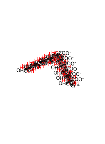 O=C[C@H](O)[C@@H](O)[C@@H](O)[C@H](O)C(=O)[O-].O=C[C@H](O)[C@@H](O)[C@@H](O)[C@H](O)C(=O)[O-].O=C[C@H](O)[C@@H](O)[C@@H](O)[C@H](O)C(=O)[O-].O=C[C@H](O)[C@@H](O)[C@@H](O)[C@H](O)C(=O)[O-].O=C[C@H](O)[C@@H](O)[C@@H](O)[C@H](O)C(=O)[O-].O=C[C@H](O)[C@@H](O)[C@@H](O)[C@H](O)C(=O)[O-].O=C[C@H](O)[C@@H](O)[C@@H](O)[C@H](O)C(=O)[O-].O=C[C@H](O)[C@@H](O)[C@@H](O)[C@H](O)C(=O)[O-].O=C[C@H](O)[C@@H](O)[C@@H](O)[C@H](O)C(=O)[O-].O=C[C@H](O)[C@@H](O)[C@@H](O)[C@H](O)C(=O)[O-].[Cr+3].[K+]